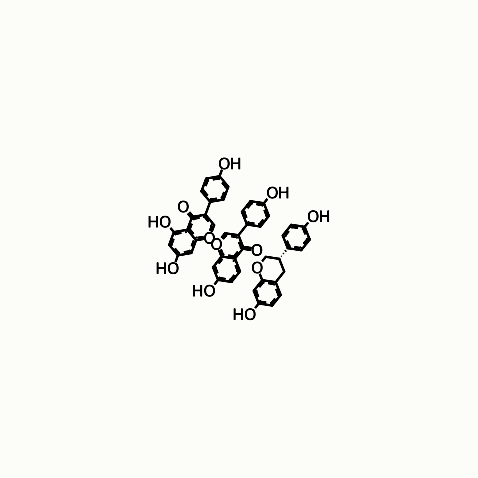 O=c1c(-c2ccc(O)cc2)coc2cc(O)cc(O)c12.O=c1c(-c2ccc(O)cc2)coc2cc(O)ccc12.Oc1ccc([C@H]2COc3cc(O)ccc3C2)cc1